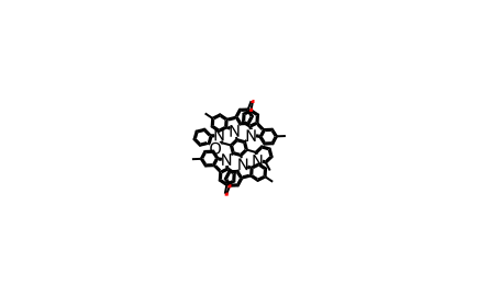 Cc1ccc2c(c1)c1cc(C)ccc1n2-c1c(-c2cccc(C)n2)c(-n2c3ccc(C)cc3c3cc(C)ccc32)c(-n2c3ccc(C)cc3c3cc(C)ccc32)c(-c2nc3ccccc3o2)c1-n1c2ccc(C)cc2c2cc(C)ccc21